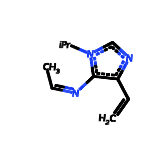 C=Cc1ncn(C(C)C)c1/N=C\C